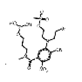 CN(CCCOP(O)O)C(=O)c1cc(N(CCBr)CCOS(C)(=O)=O)c(C#N)cc1[N+](=O)[O-]